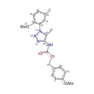 COc1ccc(COC(=O)Nc2nnn(-c3cc(C)ccc3OC)c2C)cc1